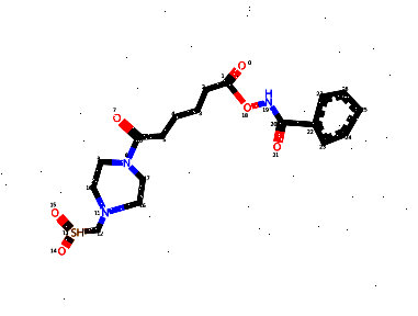 O=C(CCCCC(=O)N1CCN(C[SH](=O)=O)CC1)ONC(=O)c1ccccc1